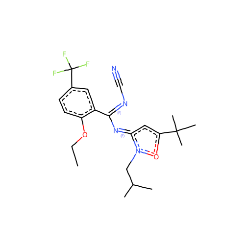 CCOc1ccc(C(F)(F)F)cc1C(=N\C#N)/N=c1\cc(C(C)(C)C)on1CC(C)C